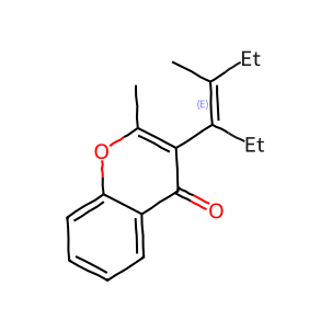 CC/C(C)=C(\CC)c1c(C)oc2ccccc2c1=O